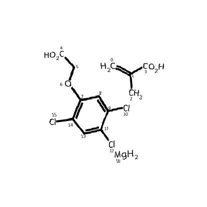 C=C(C)C(=O)O.O=C(O)COc1cc(Cl)c(Cl)cc1Cl.[MgH2]